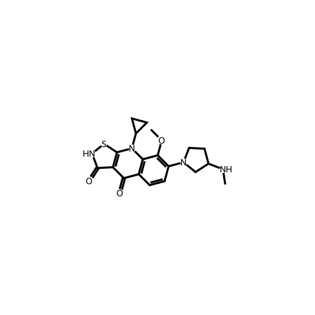 CNC1CCN(c2ccc3c(=O)c4c(=O)[nH]sc4n(C4CC4)c3c2OC)C1